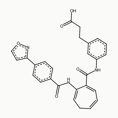 O=C(O)CCc1cccc(NC(=O)C2=CC=CCC=C2NC(=O)c2ccc(-c3ccon3)cc2)c1